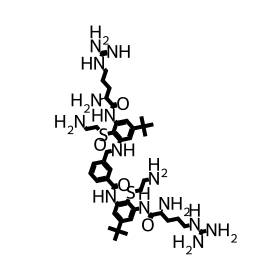 CC(C)(C)c1cc(NC(=O)c2cccc(C(=O)Nc3cc(C(C)(C)C)cc(NC(=O)[C@H](N)CCCNC(N)N)c3SCCN)c2)c(SCCN)c(NC(=O)[C@H](N)CCCNC(=N)N)c1